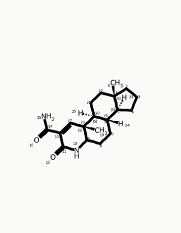 C[C@@]12CCC[C@H]1[C@@H]1CCC3NC(=O)C(C(N)=O)=C[C@]3(C)[C@H]1CC2